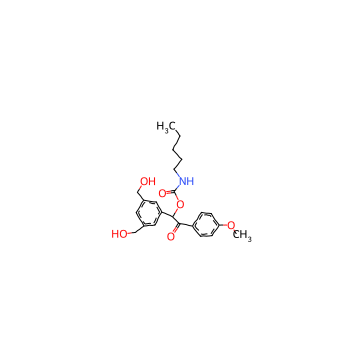 CCCCCNC(=O)OC(C(=O)c1ccc(OC)cc1)c1cc(CO)cc(CO)c1